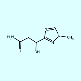 Cn1cnc(C(O)CC(N)=O)n1